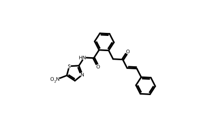 O=C(/C=C/c1ccccc1)Cc1ccccc1C(=O)Nc1ncc([N+](=O)[O-])s1